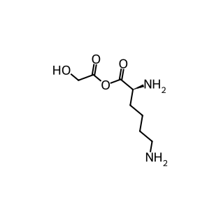 NCCCC[C@H](N)C(=O)OC(=O)CO